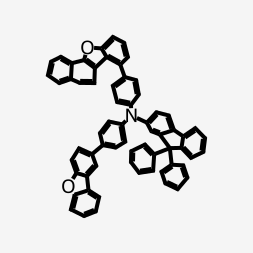 c1ccc(C2(c3ccccc3)c3ccccc3-c3ccc(N(c4ccc(-c5ccc6oc7ccccc7c6c5)cc4)c4ccc(-c5cccc6oc7c8ccccc8ccc7c56)cc4)cc32)cc1